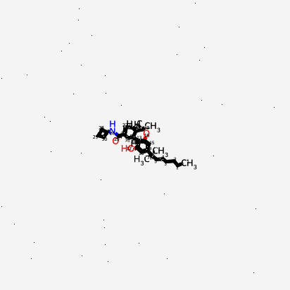 CCCCCCC(C)(C)c1cc(O)c2c(c1)OC(C)(C)[C@@H]1CC=C(C(=O)NC3CCC3)C[C@@H]21